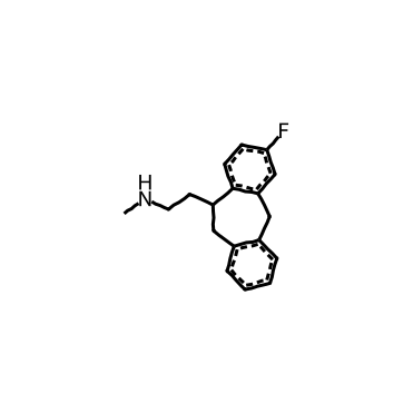 CNCCC1Cc2ccccc2Cc2cc(F)ccc21